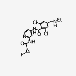 CCNCc1cc(Cl)c(C(=O)Nc2ccnc(NC(=O)[C@H]3C[C@H]3F)c2)c(Cl)c1